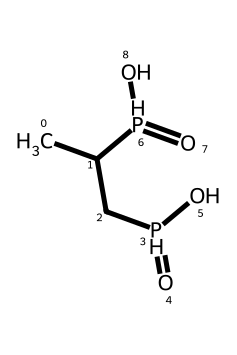 CC(C[PH](=O)O)[PH](=O)O